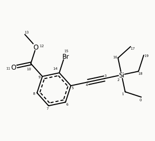 CC[Si](C#Cc1cccc(C(=O)OC)c1Br)(CC)CC